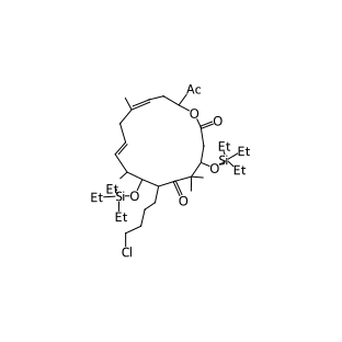 CC[Si](CC)(CC)OC1C(C)/C=C/C/C(C)=C\CC(C(C)=O)OC(=O)CC(O[Si](CC)(CC)CC)C(C)(C)C(=O)C1CCCCCl